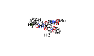 C#CC[C@@H]1C[C@@H](Oc2cc(O[C@@H](C)[C@@H](C)C[C@@H](F)CNC(=O)OC(C)(C)C)nc(-c3noc(C(C)(C)c4c(C)cccc4F)n3)n2)CCN1C(=O)OCc1ccccc1